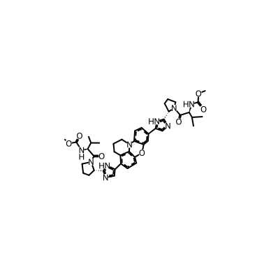 COC(=O)N[C@H](C(=O)N1CCC[C@H]1c1ncc(-c2ccc3c(c2)Oc2ccc(-c4cnc([C@@H]5CCCN5C(=O)[C@@H](NC(=O)OC)C(C)C)[nH]4)c4c2N3CCC4)[nH]1)C(C)C